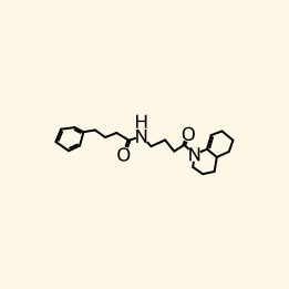 O=C(CCCc1ccccc1)NCCCC(=O)N1CCCC2CCCC=C21